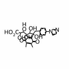 CC1=C(C)C(=O)C(C(O)(Cc2ccc(-n3ccnc3)cc2)C(O)C(O)C(O)C(O)C(=O)O)=C(C)C1=O